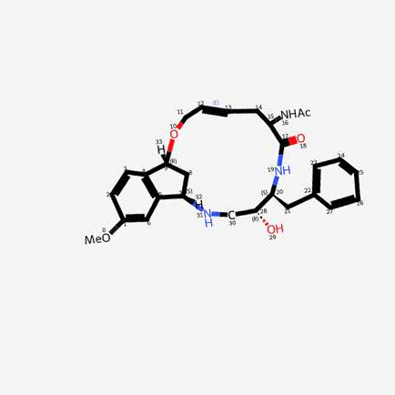 COc1ccc2c(c1)[C@@H]1C[C@H]2OC/C=C/CC(NC(C)=O)C(=O)N[C@@H](Cc2ccccc2)[C@H](O)CN1